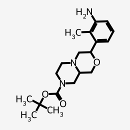 Cc1c(N)cccc1C1CN2CCN(C(=O)OC(C)(C)C)CC2CO1